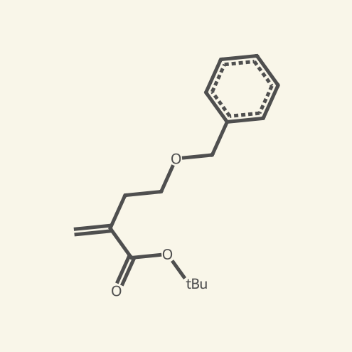 C=C(CCOCc1ccccc1)C(=O)OC(C)(C)C